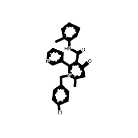 Cc1ccccc1NC(=O)c1c(-c2cccnc2)n(Cc2ccc(Cl)cc2)c(C)cc1=O